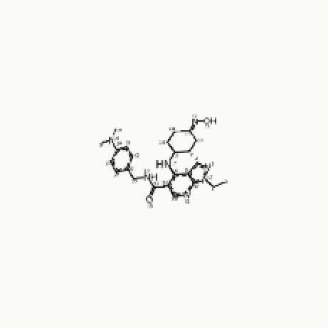 CCn1ncc2c(NC3CCC(=NO)CC3)c(C(=O)NCc3ccc(N(C)C)cc3)cnc21